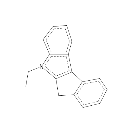 CCn1c2c(c3ccccc31)-c1ccccc1C2